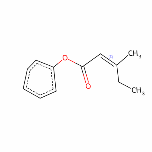 CC/C(C)=C\C(=O)Oc1ccccc1